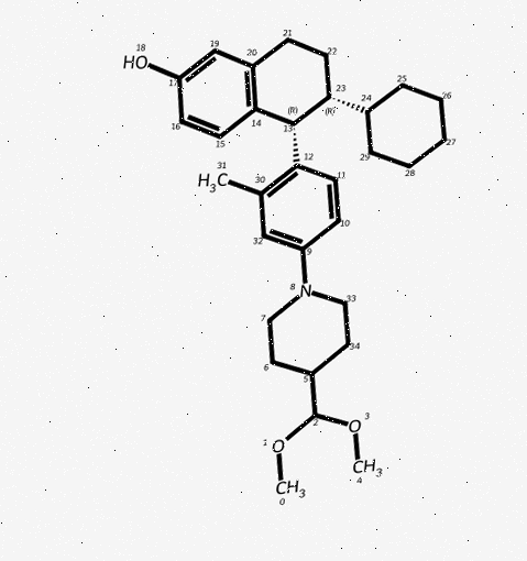 COC(OC)C1CCN(c2ccc([C@@H]3c4ccc(O)cc4CC[C@@H]3C3CCCCC3)c(C)c2)CC1